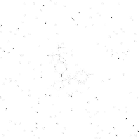 O=S(=O)(c1ccc(F)cc1)[C@@]1(c2ccc(C(O)(C(F)(F)F)C(F)(F)F)cc2)C[C@@H](O)[C@@H](O)C1